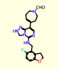 O=CN1CCC=C(C2=CN=C(NCc3c(F)ccc4c3CCO4)N3CNN=C23)CC1